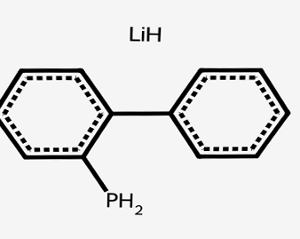 Pc1ccccc1-c1ccccc1.[LiH]